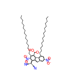 CCCCCCCCCCCCCCCCc1cc([N+](=O)[O-])cc2c1-c1c(C(=O)O)c(CCCCCCCCCCCCCCCC)c([N+](=O)[O-])c(=C(C#N)C#N)c1=C2